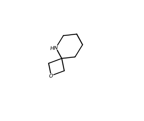 C1CCC2(COC2)NC1